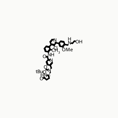 COc1cc(-c2nccc(-c3cccc(NC(=O)c4ccc(CN(C[C@@H]5CCC(=O)N5)C(=O)OC(C)(C)C)cn4)c3C)c2Cl)ccc1CNCCO